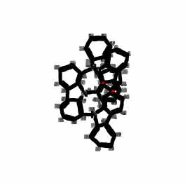 c1ccc2c(c1)oc1c(-n3c4c(-n5c6ccccc6c6ccccc65)cccc4c4cccc(-n5c6ccccc6c6ccccc65)c43)nccc12